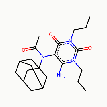 CCCn1c(N)c(N(C(C)=O)C23CC4CC(CC(C4)C2)C3)c(=O)n(CCC)c1=O